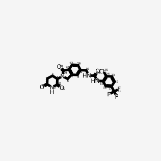 O=C1CCC(N2Cc3cc(CNC(=O)Nc4cc(C(F)(F)F)ccc4Cl)ccc3C2=O)C(=O)N1